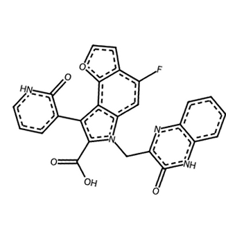 O=C(O)c1c(-c2ccc[nH]c2=O)c2c3occc3c(F)cc2n1Cc1nc2ccccc2[nH]c1=O